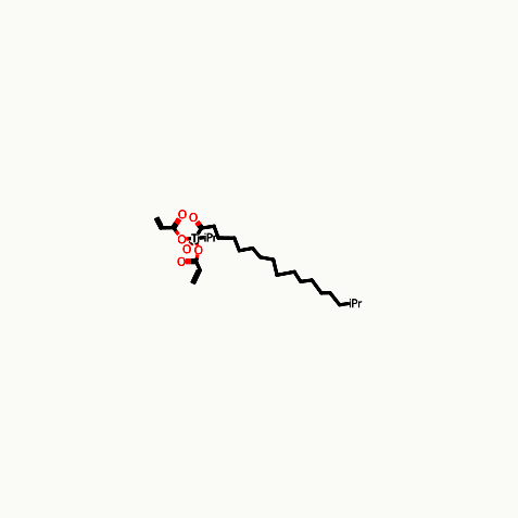 C=CC(=O)[O][Ti](=[O])([O]C(=O)C=C)([C](=O)CCCCCCCCCCCCCCC(C)C)[CH](C)C